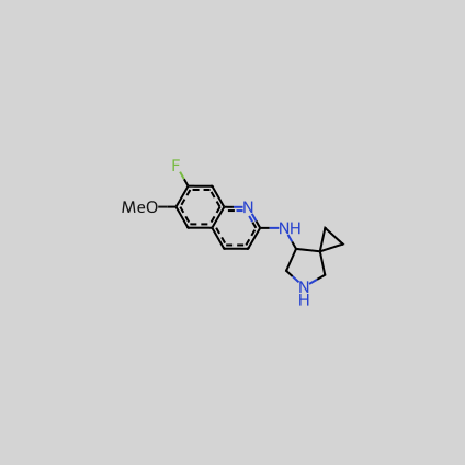 COc1cc2ccc(NC3CNCC34CC4)nc2cc1F